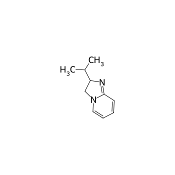 CC(C)C1CN2C=CC=CC2=N1